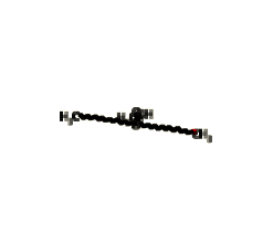 CCCCCCCCCCCCCCCCOCCCCCCCCCCCCCCCC.CS(=O)(=O)O